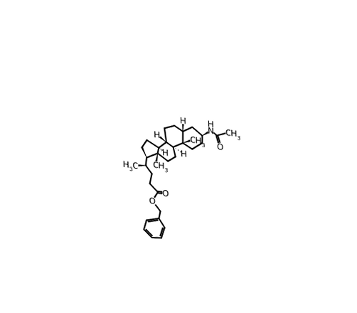 CC(=O)N[C@H]1CC[C@@]2(C)[C@H](CC[C@@H]3[C@@H]2CC[C@]2(C)[C@@H]([C@H](C)CCC(=O)OCc4ccccc4)CC[C@@H]32)C1